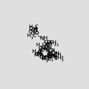 CC[C@H]1OC(=O)[C@H](C)[C@@H](O[C@H]2C[C@@](C)(OC)[C@@H](OCCCNCCCc3ccc4c(c3C)c(=O)c(C(=O)O)cn4CC)[C@H](C)O2)[C@H](C)[C@@H](O[C@@H]2O[C@H](C)CC(N(C)C)[C@H]2O)[C@](C)(OC)C[C@@H](C)C(=O)C(C)[C@H]2NC(=O)O[C@@]21C